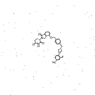 N#Cc1ccc(N2CC(Sc3ccc(COc4cccc5c4CN([C@@H]4CCC(=O)NC4=O)C5=O)cc3)C2)c(F)c1